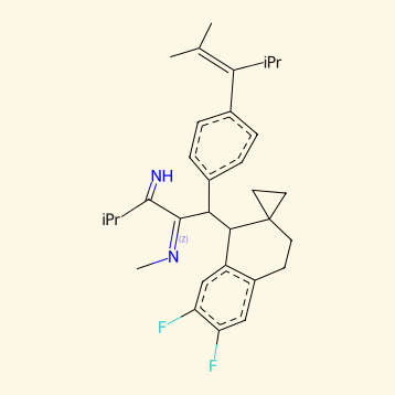 C/N=C(\C(=N)C(C)C)C(c1ccc(C(=C(C)C)C(C)C)cc1)C1c2cc(F)c(F)cc2CCC12CC2